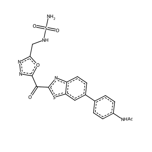 CC(=O)Nc1ccc(-c2ccc3nc(C(=O)c4nnc(CNS(N)(=O)=O)o4)sc3c2)cc1